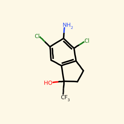 Nc1c(Cl)cc2c(c1Cl)CCC2(O)C(F)(F)F